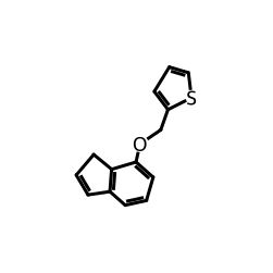 C1=Cc2cccc(OCc3cccs3)c2C1